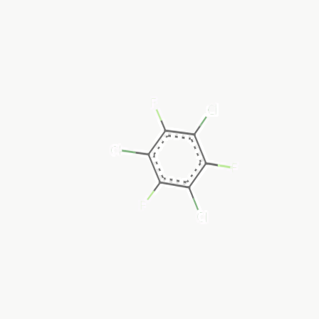 Fc1c(Cl)c(F)c(Cl)c(F)c1Cl